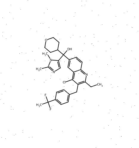 CCc1nc2ccc(C(O)(c3cnc(C)n3C)C3CCOCC3)cc2c(Cl)c1Cc1ccc(C(C)(F)F)cc1